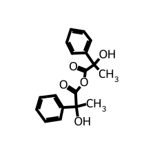 CC(O)(C(=O)OC(=O)C(C)(O)c1ccccc1)c1ccccc1